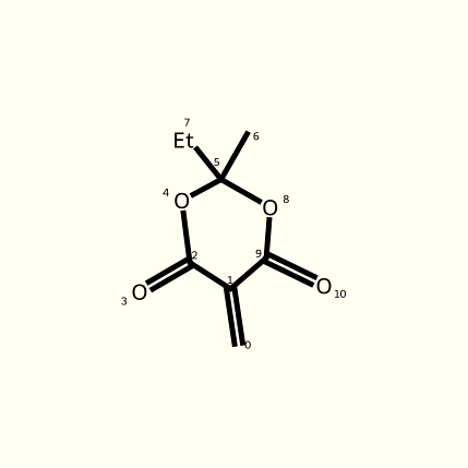 C=C1C(=O)OC(C)(CC)OC1=O